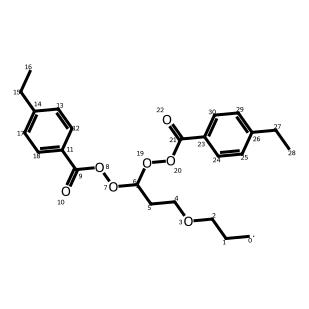 [CH2]CCOCC[C](OOC(=O)c1ccc(CC)cc1)OOC(=O)c1ccc(CC)cc1